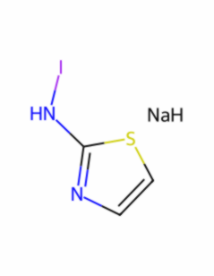 INc1nccs1.[NaH]